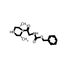 C[C@@H]1CNC[C@H](C)N1C(=O)CNC(=O)OCc1ccccc1